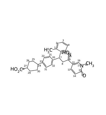 Cc1ccccc1C(C/C(=N\O)c1ccc(=O)n(C)c1)c1ccc(C2CCC(C(=O)O)CC2)cc1